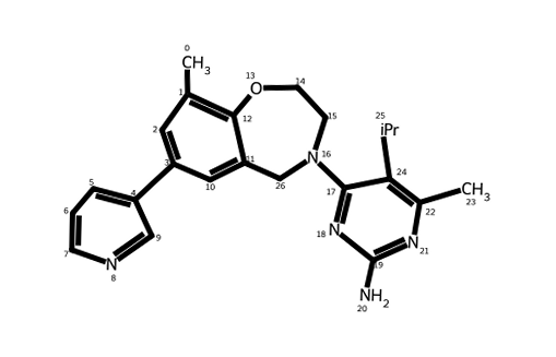 Cc1cc(-c2cccnc2)cc2c1OCCN(c1nc(N)nc(C)c1C(C)C)C2